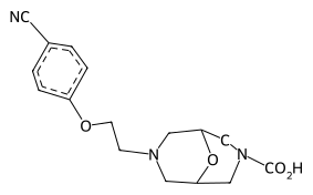 N#Cc1ccc(OCCN2CC3CN(C(=O)O)CC(C2)O3)cc1